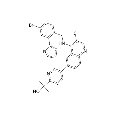 CC(C)(O)c1ncc(-c2ccc3ncc(Cl)c(NCc4ccc(Br)cc4-n4cccn4)c3c2)cn1